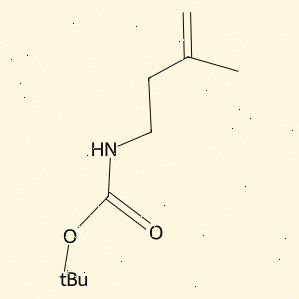 C=C(C)CCNC(=O)OC(C)(C)C